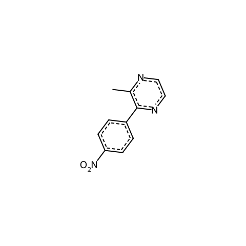 Cc1nccnc1-c1ccc([N+](=O)[O-])cc1